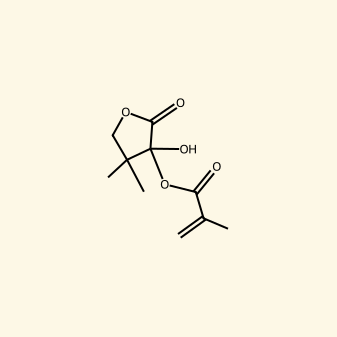 C=C(C)C(=O)OC1(O)C(=O)OCC1(C)C